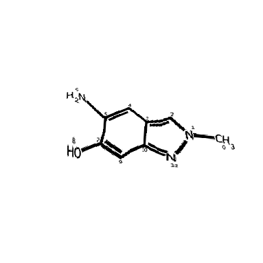 Cn1cc2cc(N)c(O)cc2n1